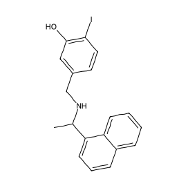 CC(NCc1ccc(I)c(O)c1)c1cccc2ccccc12